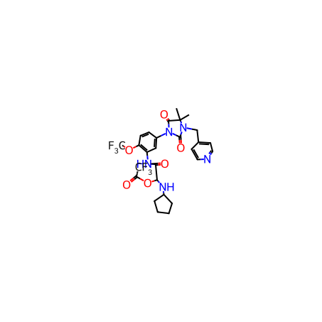 CC1(C)C(=O)N(c2ccc(OC(F)(F)F)c(NC(=O)C(NC3CCCC3)OC(=O)C(F)(F)F)c2)C(=O)N1Cc1ccncc1